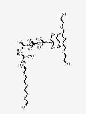 C=C(C)C(=O)O.C=C(C)C(=O)O.C=C(C)C(=O)O.C=C(C)C(=O)O.C=COCCOCCOC=C.OCCO.OCCO.OCCOCCOCCOCCO